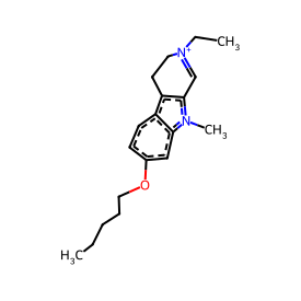 CCCCCOc1ccc2c3c(n(C)c2c1)C=[N+](CC)CC3